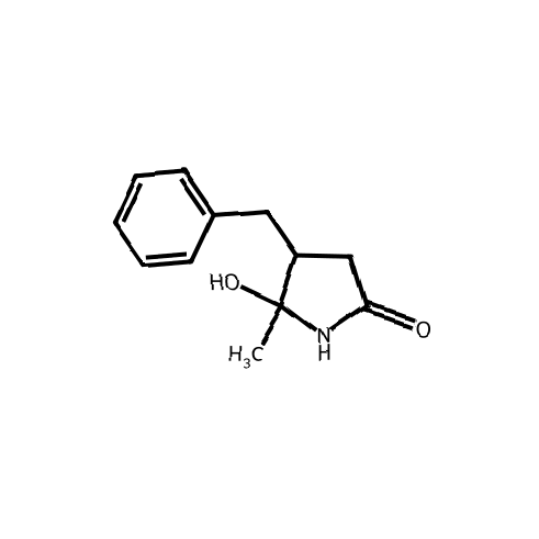 CC1(O)NC(=O)CC1Cc1ccccc1